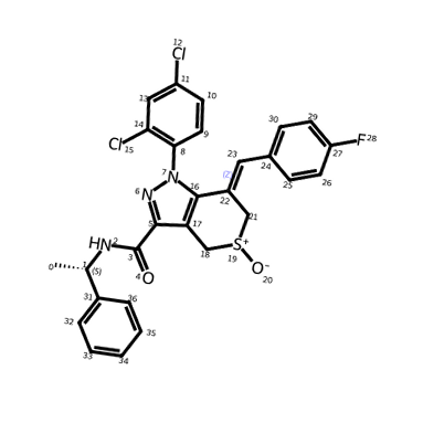 C[C@H](NC(=O)c1nn(-c2ccc(Cl)cc2Cl)c2c1C[S+]([O-])C/C2=C\c1ccc(F)cc1)c1ccccc1